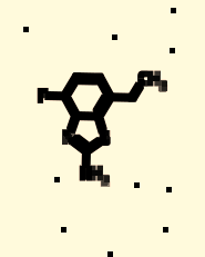 CCC1=C2SC(N)=NC2C(F)C=C1